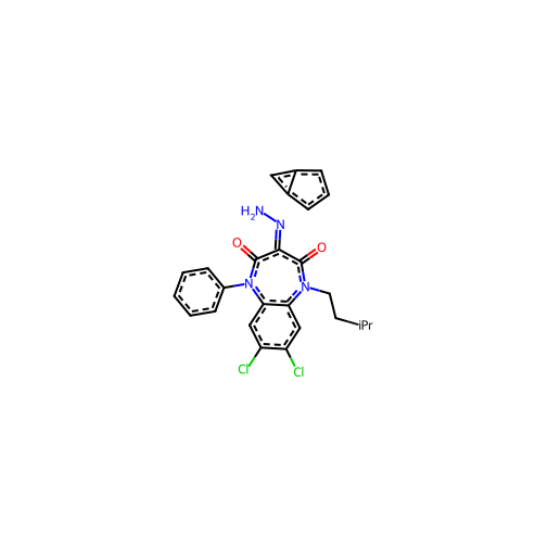 CC(C)CCn1c(=O)c(=NN)c(=O)n(-c2ccccc2)c2cc(Cl)c(Cl)cc21.c1cc2cc-2c1